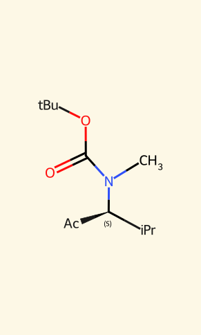 CC(=O)[C@H](C(C)C)N(C)C(=O)OC(C)(C)C